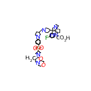 C=C(CN1CCOCC1)C(=O)N1CC(S(=O)(=O)c2ccc(N3CCC(CN4CCC(C(CN5CCC5)(c5cccc(F)c5)[C@H]5CCC[C@@H]5NC(=O)O)CC4)C3)cc2)C1